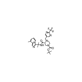 Cc1cccn2c(C(C)(C)NC(=O)[C@@H]3CN(C(=O)OC(C)(C)C)CCN3Cc3cnc(C(F)(F)F)nc3)ncc12